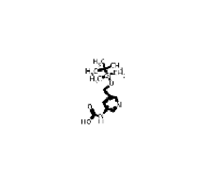 CC(C)(C)[Si](C)(C)OCc1cncc(NC(=O)O)c1